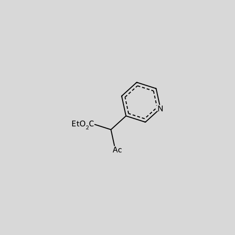 CCOC(=O)C(C(C)=O)c1cccnc1